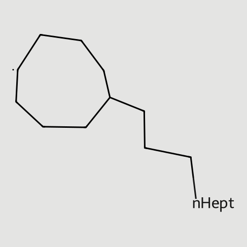 CCCCCCCCCCC1CCC[CH]CCC1